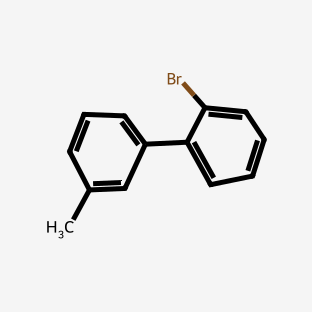 Cc1cccc(-c2ccccc2Br)c1